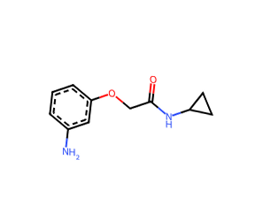 Nc1cccc(OCC(=O)NC2CC2)c1